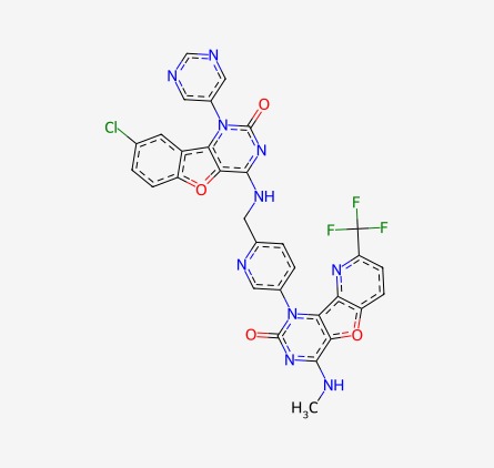 CNc1nc(=O)n(-c2ccc(CNc3nc(=O)n(-c4cncnc4)c4c3oc3ccc(Cl)cc34)nc2)c2c1oc1ccc(C(F)(F)F)nc12